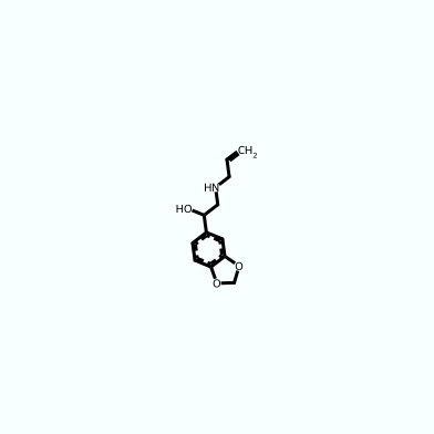 C=CCNCC(O)c1ccc2c(c1)OCO2